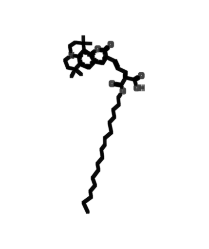 CCCCCCCCCCCCCCCCCCOC(=O)C(=CC=Cc1cc2cc3c4c(c2oc1=O)C(C)(C)CCN4CCC3(C)C)C(=O)O